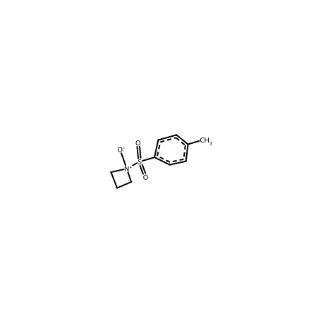 Cc1ccc(S(=O)(=O)[N+]2([O-])CCC2)cc1